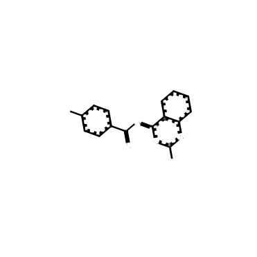 N=C(/N=c1\[nH]c(Cl)nc2ccccc12)c1ccc(F)cc1